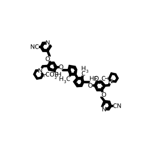 Cc1c(COc2cc(OCc3cncc(C#N)c3)c(CN3CCCC[C@H]3C(=O)O)cc2F)cccc1-c1cccc(COc2cc(OCc3cncc(C#N)c3)c(CN3CCCC[C@H]3C(=O)O)cc2F)c1C